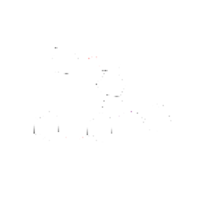 Cc1cc2c(cc1Oc1ccccc1)c1cc(Oc3ccccc3)c(C)cc1p2-c1ccccc1